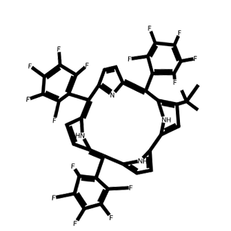 CC(C)(C)c1cc2[nH]c1c(-c1c(F)c(F)c(F)c(F)c1F)c1nc(c(-c3c(F)c(F)c(F)c(F)c3F)c3ccc([nH]3)c(-c3c(F)c(F)c(F)c(F)c3F)c3ccc2[nH]3)C=C1